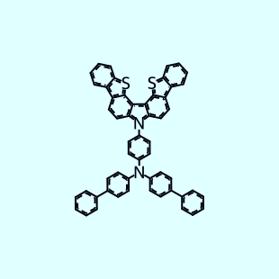 c1ccc(-c2ccc(N(c3ccc(-c4ccccc4)cc3)c3ccc(-n4c5ccc6c7ccccc7sc6c5c5c6sc7ccccc7c6ccc54)cc3)cc2)cc1